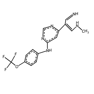 CN/C=C(\C=N)c1cc(Nc2ccc(OC(F)(F)F)cc2)ncn1